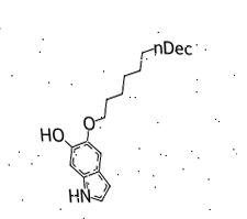 CCCCCCCCCCCCCCCCOc1cc2cc[nH]c2cc1O